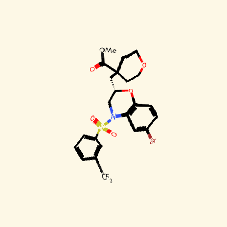 COC(=O)C1(C[C@H]2CN(S(=O)(=O)c3cccc(C(F)(F)F)c3)c3cc(Br)ccc3O2)CCOCC1